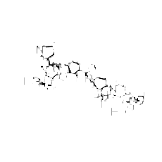 CCS(=O)(=O)NC1CCN(c2ccc(NC(=O)c3ccc(C)c(Oc4nc(-c5cccnc5)nc5c4cnn5C)c3)cc2C(F)(F)F)CC1